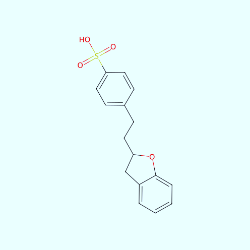 O=S(=O)(O)c1ccc(CCC2Cc3ccccc3O2)cc1